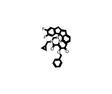 O=C1c2c(OCc3ccccc3)c(=O)ccn2N(C23C(=Cc4ccccc42)Cc2cc(F)c(F)cc23)CN1CC1CC1